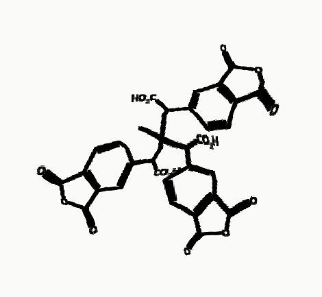 CC(C(C(=O)O)c1ccc2c(c1)C(=O)OC2=O)(C(C(=O)O)c1ccc2c(c1)C(=O)OC2=O)C(C(=O)O)c1ccc2c(c1)C(=O)OC2=O